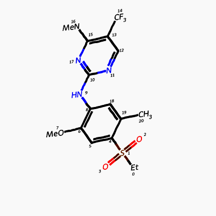 CCS(=O)(=O)c1cc(OC)c(Nc2ncc(C(F)(F)F)c(NC)n2)cc1C